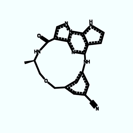 C[C@@H]1COCc2cc(C#N)cc(c2)Nc2nc3c(cnn3c3[nH]ccc23)C(=O)N1